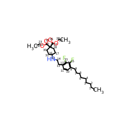 CCCCCCCCCc1ccc(CCNC2CCC(C(=O)OCC)(C(=O)OCC)CC2)c(F)c1F